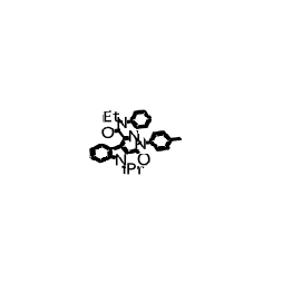 CCN(C(=O)c1nn(-c2ccc(C)cc2)c(=O)c2c1c1ccccc1n2C(C)C)c1ccccc1